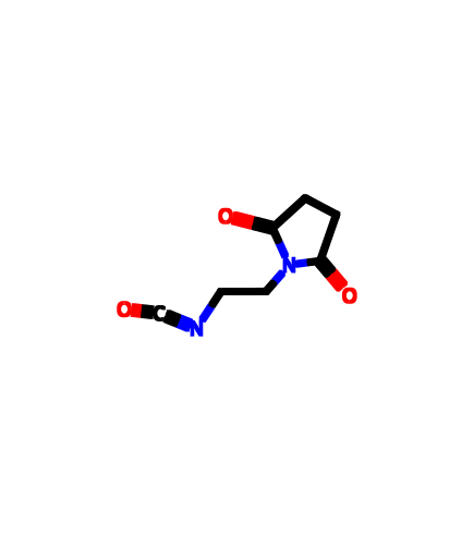 O=C=NCCN1C(=O)CCC1=O